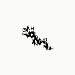 CNC(=O)n1c(C)cc2cc(Oc3ccnc4cc(C(=O)N5CC(O)C5)sc34)ccc21